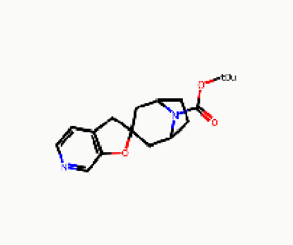 CC(C)(C)OC(=O)N1C2CCC1CC1(Cc3ccncc3O1)C2